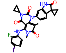 Cc1c(=O)n(C)c(Nc2ccc(I)cc2F)c2c(=O)n(C3CC3)c(=O)n(-c3ccc4c(c3)NC(=O)C43CC3)c12